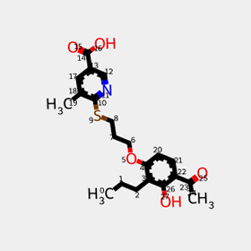 CCCc1c(OCCCSc2ncc(C(=O)O)cc2C)ccc(C(C)=O)c1O